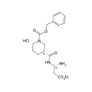 CCOC(=O)C[C@@H](N)NC(=O)[C@@H]1CCCN(C(=O)OCc2ccccc2)C1.Cl